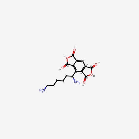 NCCCCCC(N)c1c2c(=O)oc(=O)c2cc2c(=O)oc(=O)c12